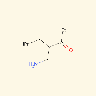 CCC(=O)C(CN)CC(C)C